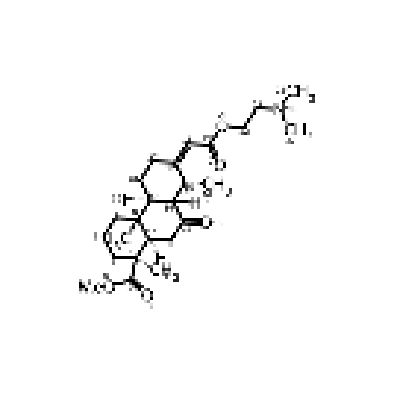 COC(=O)[C@@]1(C)CCC[C@@]2(C)[C@H]1CC(=O)[C@H]1[C@@H](C)/C(=C\C(=O)OCCN(C)C)CC[C@@H]12